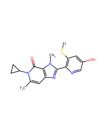 CCSc1cc(O)cnc1-c1nc2cc(C(F)(F)F)n(C3CC3)c(=O)c2n1C